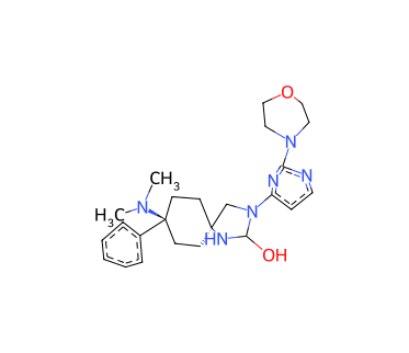 CN(C)[C@]1(c2ccccc2)CC[C@]2(CC1)CN(c1ccnc(N3CCOCC3)n1)C(O)N2